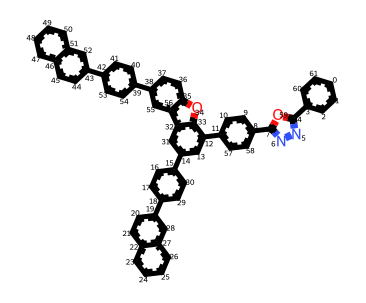 c1ccc(-c2nnc(-c3ccc(-c4cc(-c5ccc(-c6ccc7ccccc7c6)cc5)cc5c4oc4ccc(-c6ccc(-c7ccc8ccccc8c7)cc6)cc45)cc3)o2)cc1